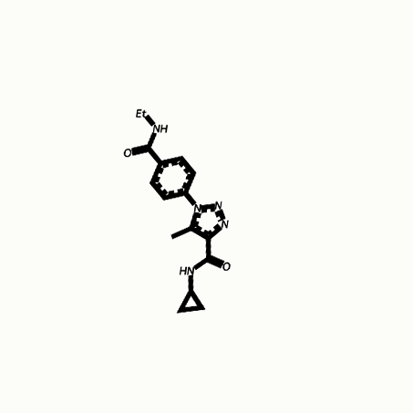 CCNC(=O)c1ccc(-n2nnc(C(=O)NC3CC3)c2C)cc1